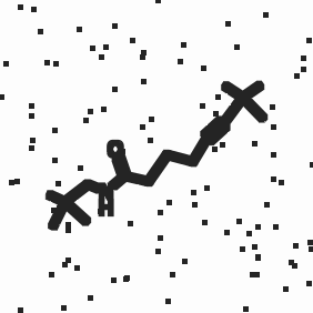 CC(C)(C)C#CCCCC(=O)NCC(C)(C)C